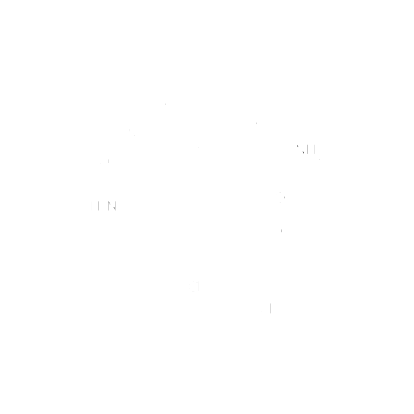 CS(=O)(=O)c1cc(S(N)(=O)=O)c(C(Cl)=C(Cl)Cl)cc1N